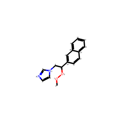 COOC(Cn1ccnc1)c1ccc2ccccc2c1